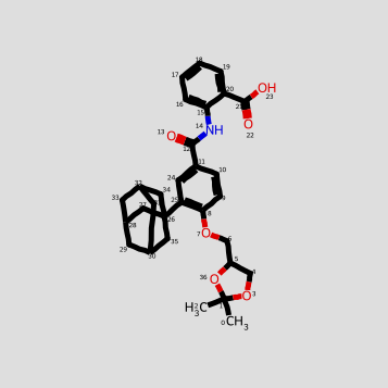 CC1(C)OCC(COc2ccc(C(=O)Nc3ccccc3C(=O)O)cc2C23CC4CC(CC(C4)C2)C3)O1